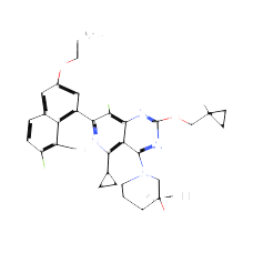 CCc1c(F)ccc2cc(OCOC)cc(-c3nc(C4CC4)c4c(N5CCC[C@@](C)(O)C5)nc(OCC5(C=O)CC5)nc4c3F)c12